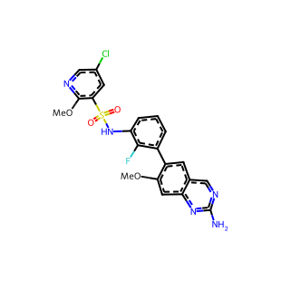 COc1cc2nc(N)ncc2cc1-c1cccc(NS(=O)(=O)c2cc(Cl)cnc2OC)c1F